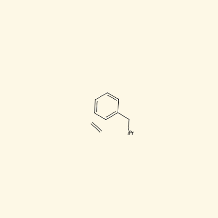 C=C.CC(C)Cc1ccccc1